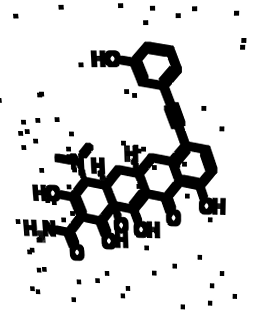 CN(C)[C@H]1C(O)=C(C(N)=O)C(=O)[C@@]2(O)C(O)=C3C(=O)c4c(O)ccc(C#Cc5cccc(O)c5)c4C[C@@H]3C[C@H]12